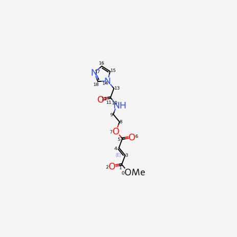 COC(=O)/C=C/C(=O)OCCNC(=O)Cn1ccnc1